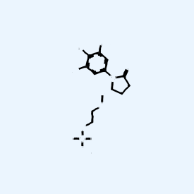 Cc1cc(N2C(=O)CC[C@@H]2COCCO[Si](C)(C)C(C)(C)C)cc(C)c1Br